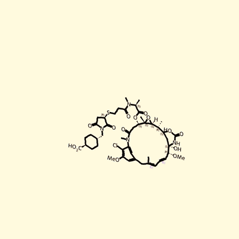 COc1cc2cc(c1Cl)N(C)C(=O)C[C@H](OC(=O)[C@H](C)N(C)C(=O)CCS[C@@H]1CC(=O)N(C[C@H]3CC[C@H](C(=O)O)CC3)C1=O)[C@]1(C)O[C@H]1[C@H](C)[C@@H]1C[C@@](O)(NC(=O)O1)[C@H](OC)/C=C/C=C(\C)C2